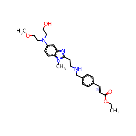 CCOC(=O)/C=C/c1ccc(CNCCc2nc3cc(N(CCO)CCOC)ccc3n2C)cc1